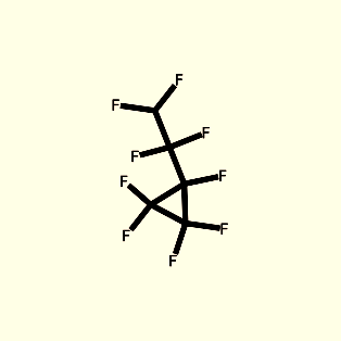 F[C](F)C(F)(F)C1(F)C(F)(F)C1(F)F